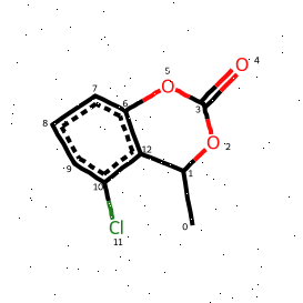 CC1OC(=O)Oc2cccc(Cl)c21